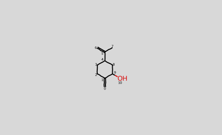 C=C1CCC(C(=C)C)CC1O